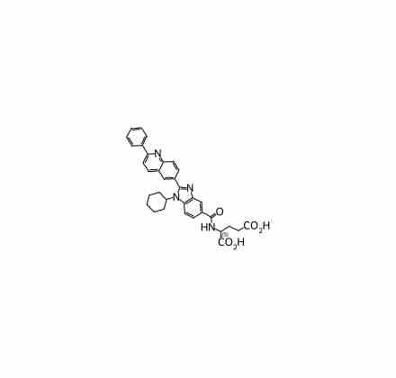 O=C(O)CC[C@H](NC(=O)c1ccc2c(c1)nc(-c1ccc3nc(-c4ccccc4)ccc3c1)n2C1CCCCC1)C(=O)O